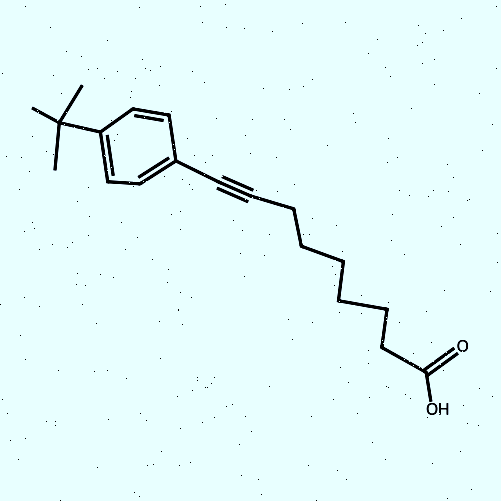 CC(C)(C)c1ccc(C#CCCCCCCC(=O)O)cc1